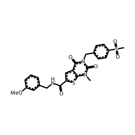 COc1cccc(CNC(=O)c2cc3c(=O)n(Cc4ccc(S(C)(=O)=O)cc4)c(=O)n(C)c3s2)c1